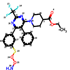 CCOC(=O)C1CCN(c2nc(C(F)(F)F)nc(-c3cccc(SOON)c3)c2-c2ccccc2)CC1